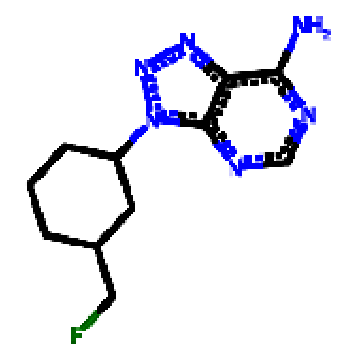 Nc1ncnc2c1nnn2C1CCCC(CF)C1